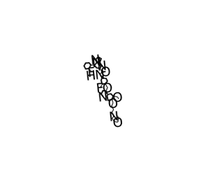 COc1cc2c(Oc3ccc(NC(=O)c4cc(-c5ccccc5F)n5nccc5n4)cc3F)ccnc2cc1OCCCN1CCOCC1